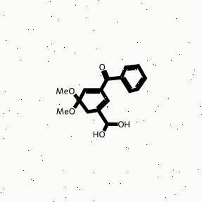 COC1(OC)C=C(C(=O)c2ccccc2)C=C(C(O)O)C1